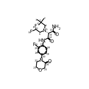 CC(C)(C)CN(CC(F)F)[C@H](C(N)=O)C(=O)Nc1ccc(N2CCOCC2=O)cc1F